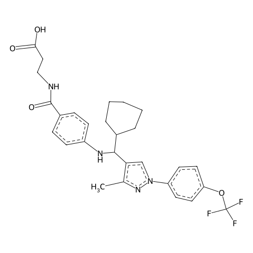 Cc1nn(-c2ccc(OC(F)(F)F)cc2)cc1C(Nc1ccc(C(=O)NCCC(=O)O)cc1)C1CCCCC1